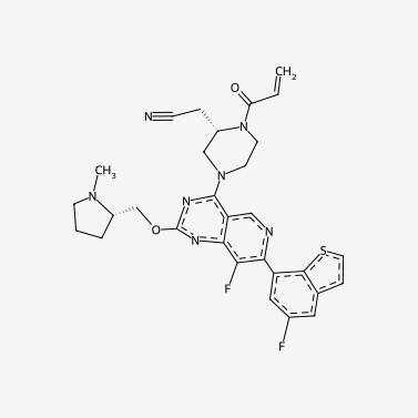 C=CC(=O)N1CCN(c2nc(OC[C@@H]3CCCN3C)nc3c(F)c(-c4cc(F)cc5ccsc45)ncc23)C[C@@H]1CC#N